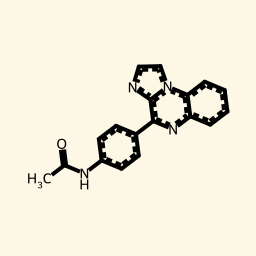 CC(=O)Nc1ccc(-c2nc3ccccc3n3ccnc23)cc1